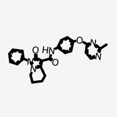 Cc1nccc(Oc2ccc(NC(=O)c3c4n(n(-c5ccccc5)c3=O)CCCC4)cc2)n1